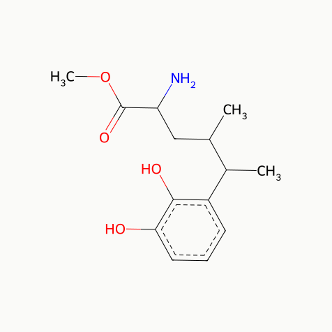 COC(=O)C(N)CC(C)C(C)c1cccc(O)c1O